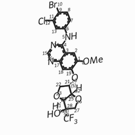 COc1cc2c(Nc3ccc(Br)c(Cl)c3)ncnc2cc1O[C@H]1CO[C@H]2[C@H]1OC[C@]2(O)C(F)(F)F